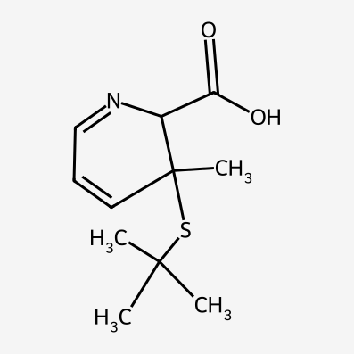 CC(C)(C)SC1(C)C=CC=NC1C(=O)O